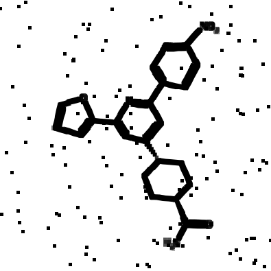 NC(=O)[C@H]1CC[C@H](c2cc(-c3ccc([N+](=O)[O-])cc3)nc(-c3ccco3)c2)CC1